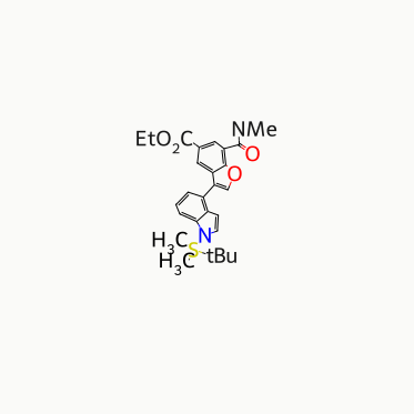 CCOC(=O)c1cc(C(=O)NC)c2occ(-c3cccc4c3ccn4S(C)(C)C(C)(C)C)c2c1